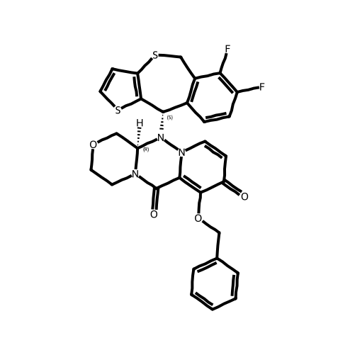 O=C1c2c(OCc3ccccc3)c(=O)ccn2N([C@H]2c3ccc(F)c(F)c3CSc3ccsc32)[C@@H]2COCCN12